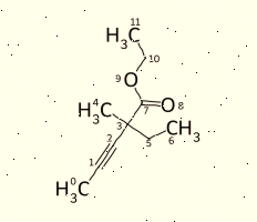 CC#CC(C)(CC)C(=O)OCC